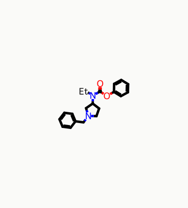 CCN(C(=O)Oc1ccccc1)C1CCN(Cc2ccccc2)C1